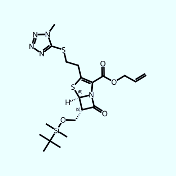 C=CCOC(=O)C1=C(CCSc2nnnn2C)S[C@@H]2[C@@H](CO[Si](C)(C)C(C)(C)C)C(=O)N12